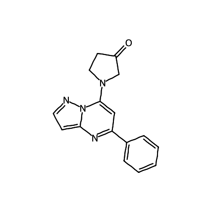 O=C1CCN(c2cc(-c3ccccc3)nc3ccnn23)C1